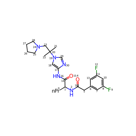 CCCC(NC(=O)Cc1cc(F)cc(F)c1)C(=O)Nc1cn(C(C)(C)CN2CCCC2)cn1